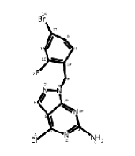 Nc1nc(Cl)c2cnn(Cc3ccc(Br)cc3F)c2n1